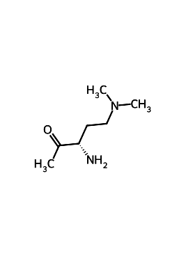 CC(=O)[C@@H](N)CCN(C)C